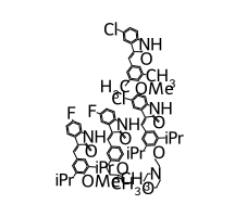 CC(C)c1cc(C=C2C(=O)Nc3ccc(Cl)cc32)cc(C(C)C)c1OCCN1CCOCC1.CC1(C)CCc2cc(C=C3C(=O)Nc4ccc(F)cc43)ccc2O1.COc1c(C(C)C)cc(C=C2C(=O)Nc3cc(F)ccc32)cc1C(C)C.COc1c(C)cc(C=C2C(=O)Nc3ccc(Cl)cc32)cc1C